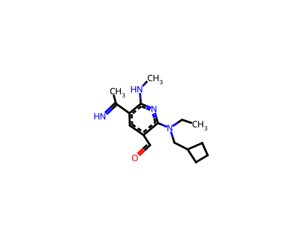 CCN(CC1CCC1)c1nc(NC)c(C(C)=N)cc1C=O